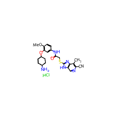 COc1ccc(NC(=O)CSc2nc3c(C)c(C#N)ncc3[nH]2)cc1OC1CCC(N)CC1.Cl